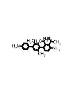 Cc1cc(-c2ccc(N)c(C(C)C)c2C(C)C)c(C)cc1-c1ccc(N)cc1